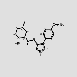 CCCCOc1ccc(-c2n[nH]cc2CN[C@@H]2C[C@H](C)CC[C@H]2C(C)C)cc1